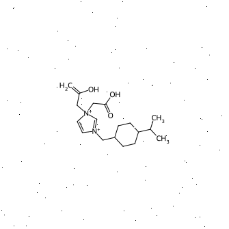 C=C(O)C[N+]1(CC(=O)O)C=C[N+](CC2CCC(C(C)C)CC2)=C1